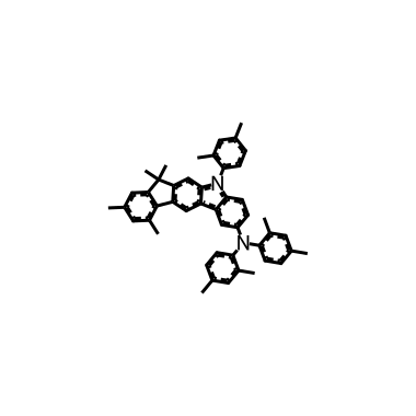 Cc1ccc(N(c2ccc3c(c2)c2cc4c(cc2n3-c2ccc(C)cc2C)C(C)(C)c2cc(C)cc(C)c2-4)c2ccc(C)cc2C)c(C)c1